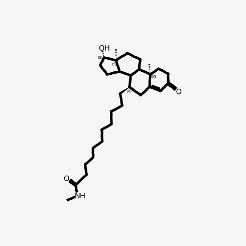 CNC(=O)CCCCCCCCCC[C@@H]1CC2=CC(=O)CC[C@]2(C)C2CC[C@@]3(C)C(CC[C@@H]3O)C21